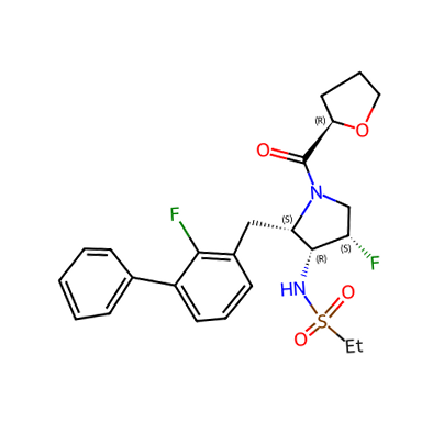 CCS(=O)(=O)N[C@H]1[C@@H](F)CN(C(=O)[C@H]2CCCO2)[C@H]1Cc1cccc(-c2ccccc2)c1F